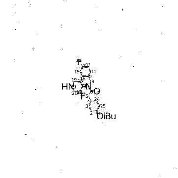 CC(C)COc1ccc(CC(=O)N(Cc2ccc(F)cc2)[C@@H]2CCNC[C@@H]2F)cc1